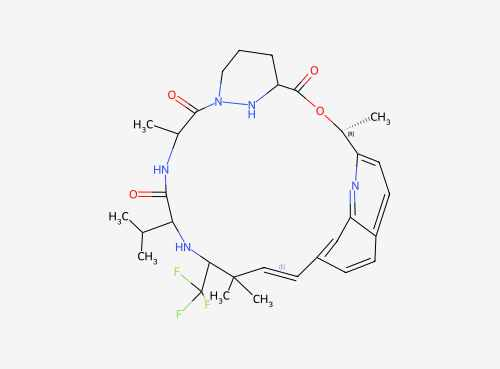 CC1NC(=O)C(C(C)C)NC(C(F)(F)F)C(C)(C)/C=C/c2ccc3ccc(nc3c2)[C@@H](C)OC(=O)C2CCCN(N2)C1=O